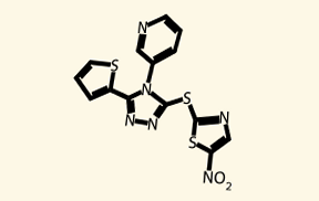 O=[N+]([O-])c1cnc(Sc2nnc(-c3cccs3)n2-c2cccnc2)s1